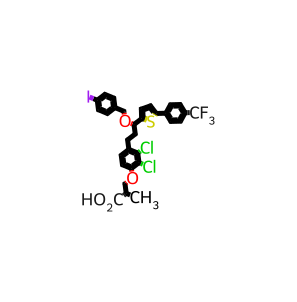 CC(COc1ccc(CCC(OCc2ccc(I)cc2)c2ccc(-c3ccc(C(F)(F)F)cc3)s2)c(Cl)c1Cl)C(=O)O